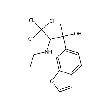 CCNC(C(Cl)(Cl)Cl)C(C)(O)c1ccc2ccoc2c1